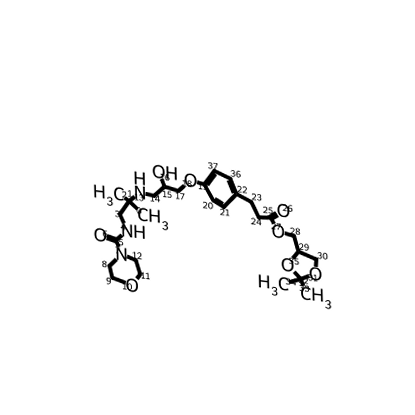 CC(C)(CNC(=O)N1CCOCC1)NCC(O)COc1ccc(CCC(=O)OCC2COC(C)(C)O2)cc1